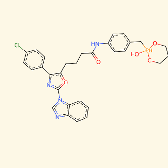 O=C(CCCc1oc(-n2cnc3ccccc32)nc1-c1ccc(Cl)cc1)Nc1ccc(C[PH]2(O)OCCCO2)cc1